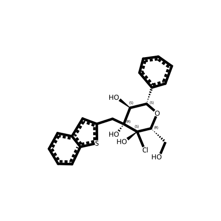 OC[C@H]1O[C@@H](c2ccccc2)[C@H](O)[C@](O)(Cc2cc3ccccc3s2)[C@@]1(O)Cl